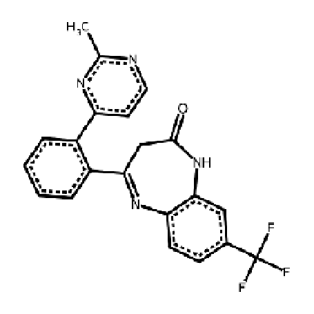 Cc1nccc(-c2ccccc2C2=Nc3ccc(C(F)(F)F)cc3NC(=O)C2)n1